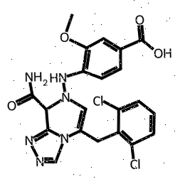 COc1cc(C(=O)O)ccc1NN1C=C(Cc2c(Cl)cccc2Cl)n2cnnc2C1C(N)=O